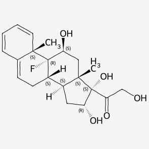 C[C@]12C=CC=CC1=CC[C@H]1[C@@H]3C[C@@H](O)[C@](O)(C(=O)CO)[C@@]3(C)C[C@H](O)[C@@]12F